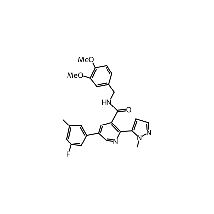 COc1ccc(CNC(=O)c2cc(-c3cc(C)cc(F)c3)cnc2-c2ccnn2C)cc1OC